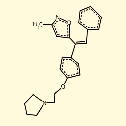 Cc1cc(C(=Cc2ccccc2)c2ccc(OCCN3CCCC3)cc2)on1